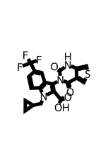 O=C(O)c1c(-n2c(=O)[nH]c3cscc3c2=O)c2cc(C(F)(F)F)ccc2n1CC1CC1